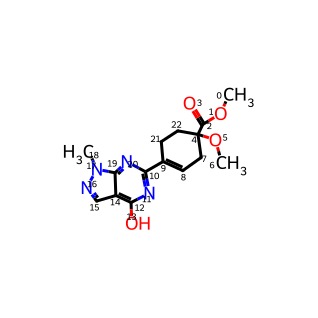 COC(=O)C1(OC)CC=C(c2nc(O)c3cnn(C)c3n2)CC1